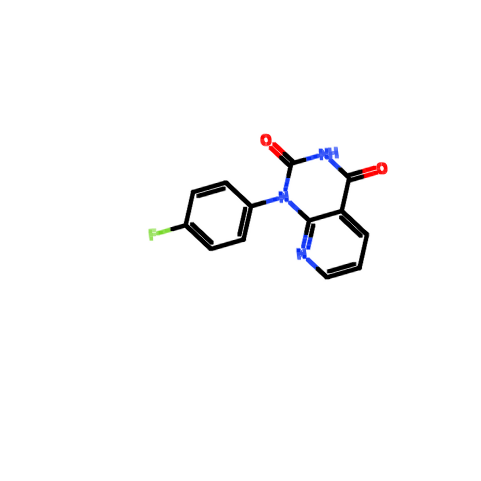 O=c1[nH]c(=O)n(-c2ccc(F)cc2)c2ncccc12